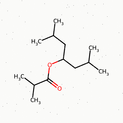 CC(C)CC(CC(C)C)OC(=O)C(C)C